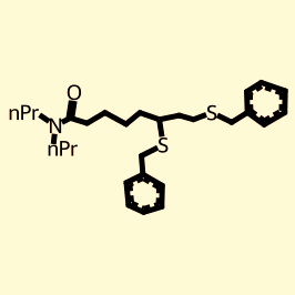 CCCN(CCC)C(=O)CCCCC(CCSCc1ccccc1)SCc1ccccc1